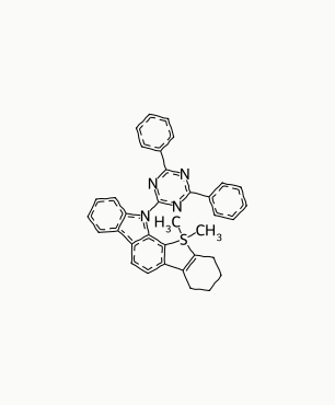 CS1(C)C2=C(CCCC2)c2ccc3c4ccccc4n(-c4nc(-c5ccccc5)nc(-c5ccccc5)n4)c3c21